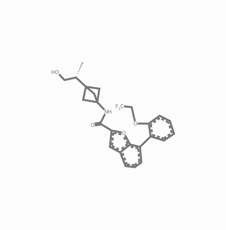 C[C@@H](CO)C12CC(NC(=O)c3cc4cccc(-c5ccccc5OCC(F)(F)F)c4o3)(C1)C2